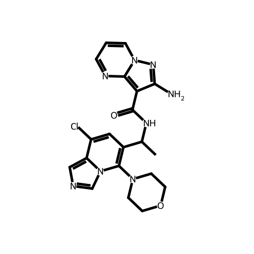 CC(NC(=O)c1c(N)nn2cccnc12)c1cc(Cl)c2cncn2c1N1CCOCC1